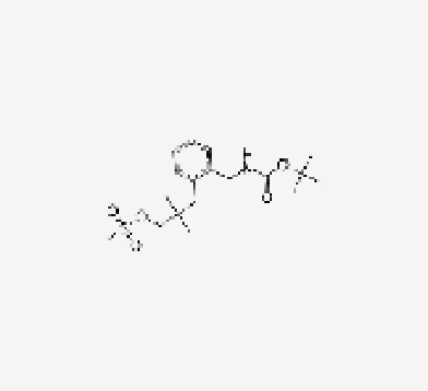 CC(C)(COS(C)(=O)=O)Cc1ccccc1CNC(=O)OC(C)(C)C